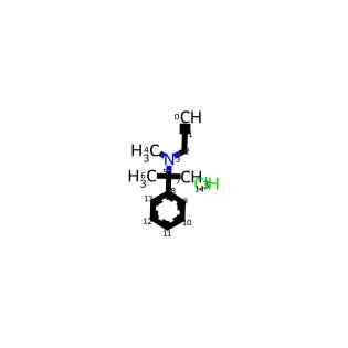 C#CCN(C)C(C)(C)c1ccccc1.Cl